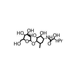 CCC[C@H](O)C(=O)N[C@@H]1CC(C)[C@@H](O[C@@H]2C=C(O)[C@H](O)C(CO)O2)C(O)C1O